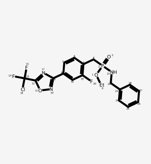 CCOP(=O)(Cc1ccc(-c2noc(C(F)(F)Cl)n2)cc1F)NCc1ccccc1